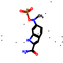 CN(O[SH](=O)=O)c1ccc2cc(C(N)=O)[nH]c2c1